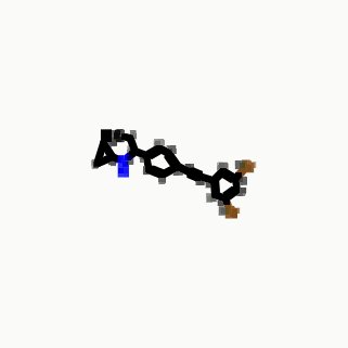 CCC(NC1CC1)c1ccc(C#Cc2cc(Br)cc(Br)c2)cc1